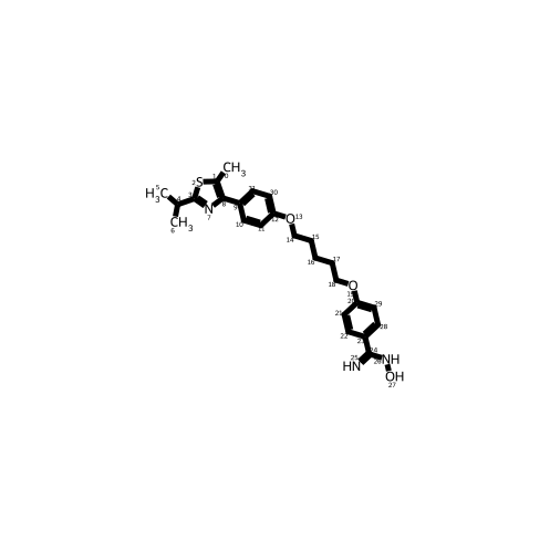 Cc1sc(C(C)C)nc1-c1ccc(OCCCCCOc2ccc(C(=N)NO)cc2)cc1